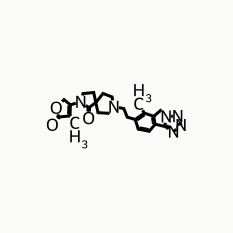 CC1=C(N2CCC3(CCN(CCc4ccc5c(c4C)Cn4nnnc4-5)CC3)C2=O)COC1=O